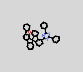 c1ccc(-c2nc(-c3ccccc3)nc(-c3cccc4c3-c3ccccc3C43c4ccccc4-c4ccc5c(oc6ccccc65)c43)n2)cc1